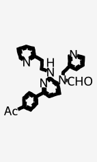 CC(=O)c1ccc(-c2ccc(N(C=O)Cc3cccnc3)c(NCCc3ccccn3)n2)cc1